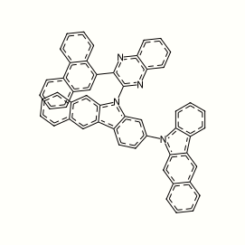 c1ccc2cc3c(cc2c1)c1ccccc1n3-c1ccc2c3cc4ccccc4cc3n(-c3nc4ccccc4nc3-c3cc4ccccc4c4ccccc34)c2c1